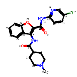 CC(=O)N1CCC(C(=O)Nc2c(C(=O)Nc3ccc(Cl)cn3)oc3ccccc23)CC1